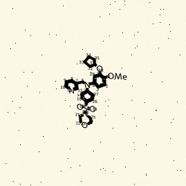 COc1ccc(N(Cc2cccnc2)c2ccc(S(=O)(=O)N3CCOCC3)cc2)cc1OC1CCCC1